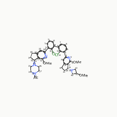 COc1nc(-c2cccc(-c3cccc(-c4cc5c(c(OC)n4)[C@@H](N4CCN(C(C)=O)CC4)CC5)c3Cl)c2Cl)cc2c1[C@H](N1CC(OC)C1)CC2